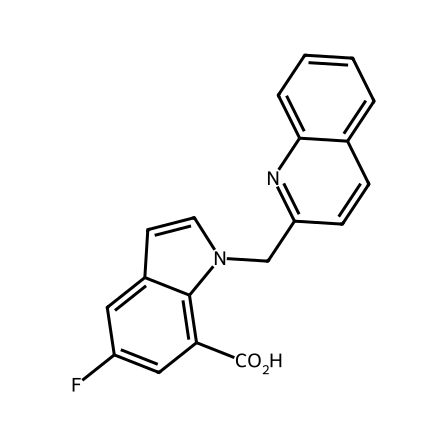 O=C(O)c1cc(F)cc2ccn(Cc3ccc4ccccc4n3)c12